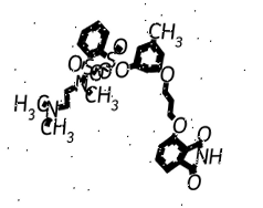 Cc1cc(OCCCOc2cccc3c2C(=O)NC3=O)cc(OS(=O)(=O)c2ccccc2S(=O)(=O)N(C)CCN(C)C)c1